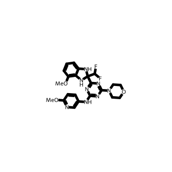 COc1ccc(Nc2nc(N3CCOCC3)nc(C3(C(F)F)Nc4cccc(OC)c4N3)n2)cn1